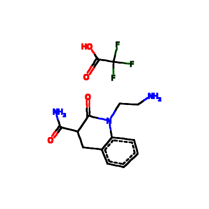 NCCN1C(=O)C(C(N)=O)Cc2ccccc21.O=C(O)C(F)(F)F